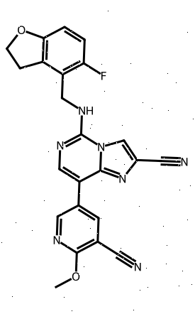 COc1ncc(-c2cnc(NCc3c(F)ccc4c3CCO4)n3cc(C#N)nc23)cc1C#N